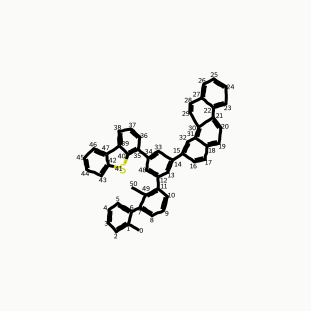 Cc1ccccc1-c1cccc(-c2cc(-c3ccc4ccc5c6ccccc6ccc5c4c3)cc(-c3cccc4c3sc3ccccc34)c2)c1C